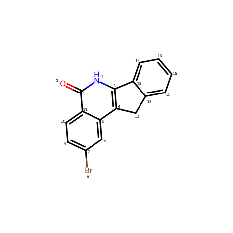 O=c1[nH]c2c(c3cc(Br)ccc13)Cc1ccccc1-2